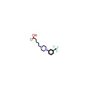 O=C(O)CCCCN1CCN(c2cccc(C(F)(F)F)c2)CC1